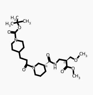 COC[C@H](CNC(=O)[C@@H]1CCCN(C(=O)CCC2CCN(C(=O)OC(C)(C)C)CC2)C1)C(=O)OC